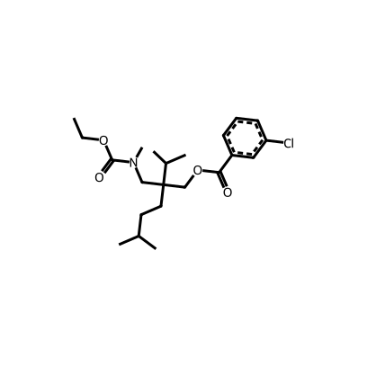 CCOC(=O)N(C)CC(CCC(C)C)(COC(=O)c1cccc(Cl)c1)C(C)C